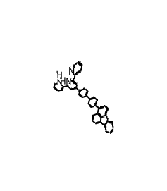 C1=CCNC(C2C=C(c3ccc(-c4ccc(-c5ccc6c7c(cccc57)-c5ccccc5-6)cc4)cc3)C=C(c3ccccn3)N2)=C1